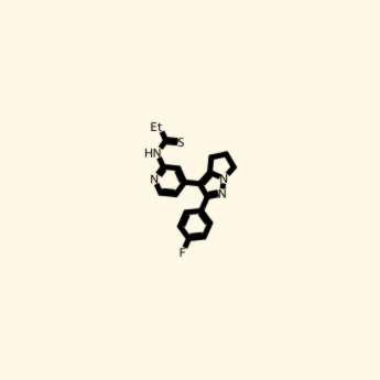 CCC(=S)Nc1cc(-c2c(-c3ccc(F)cc3)nn3c2CCC3)ccn1